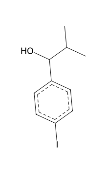 CC(C)C(O)c1ccc(I)cc1